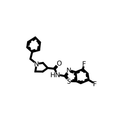 O=C(Nc1nc2c(F)cc(F)cc2s1)C1CCN(Cc2ccccc2)C1